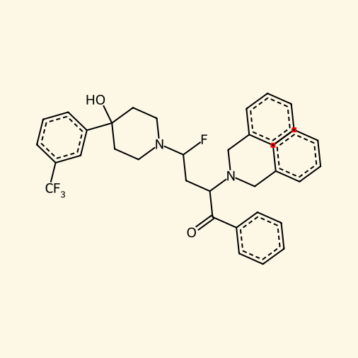 O=C(c1ccccc1)C(CC(F)N1CCC(O)(c2cccc(C(F)(F)F)c2)CC1)N(Cc1ccccc1)Cc1ccccc1